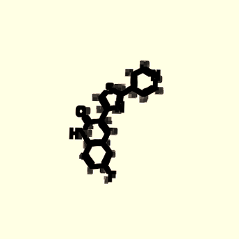 O=c1[nH]c2ccc(F)cc2cc1-c1csc(-c2ccncc2)n1